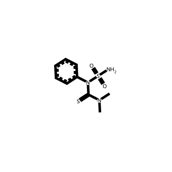 CN(C)C(=S)N(c1ccccc1)S(N)(=O)=O